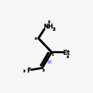 CC/C(=C/F)CN